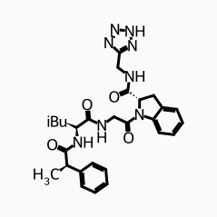 CC[C@H](C)[C@H](NC(=O)[C@H](C)c1ccccc1)C(=O)NCC(=O)N1c2ccccc2C[C@H]1C(=O)NCc1nn[nH]n1